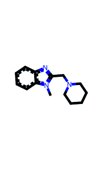 Cn1c(CN2CCCCC2)nc2ccccc21